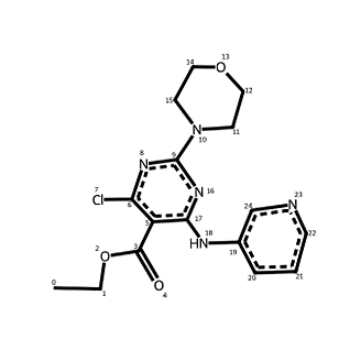 CCOC(=O)c1c(Cl)nc(N2CCOCC2)nc1Nc1cccnc1